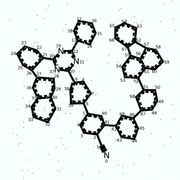 N#Cc1ccc(-c2ccc(-c3nc(-c4ccccc4)nc(-c4ccccc4-c4ccc5ccccc5c4)n3)cc2)cc1-c1cccc(-c2cccc(-c3ccc4c5c(cccc35)-c3ccccc3-4)c2)c1